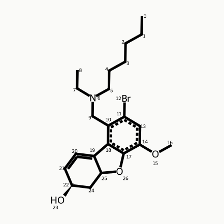 CCCCCCN(CC)Cc1c(Br)cc(OC)c2c1C1=C=C[C@H](O)CC1O2